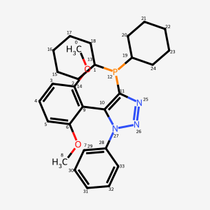 COc1cccc(OC)c1-c1c(P(C2CCCCC2)C2CCCCC2)nnn1-c1ccccc1